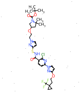 CC(C)(C)OC(=O)N1CC(OCCn2ccc(SNC(=O)c3ccc(-n4ccc(OCCC5(C(F)(F)F)CC5)n4)nc3Cl)n2)CC1(C)C